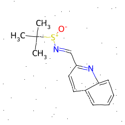 CC(C)(C)[S+]([O-])/N=C/c1ccc2ccccc2n1